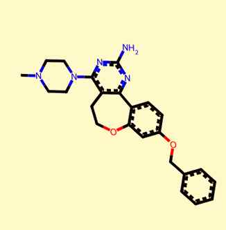 CN1CCN(c2nc(N)nc3c2CCOc2cc(OCc4ccccc4)ccc2-3)CC1